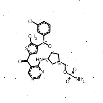 Cc1sc(C(=O)c2cncnc2N[C@H]2CC[C@@H](COS(N)(=O)=O)C2)cc1[S+]([O-])c1cccc(Cl)c1